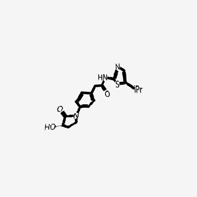 CC(C)c1cnc(NC(=O)Cc2ccc(N3CC[C@H](O)C3=O)cc2)s1